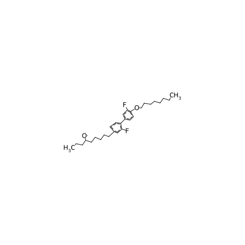 CCCCCCCCOc1ccc(-c2ccc(CCCCCC([O])CCC)cc2F)cc1F